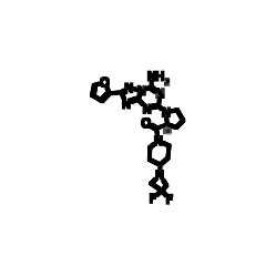 Nc1nc(N2CCC[C@H]2C(=O)N2CCC(N3CC(F)(F)C3)CC2)nc2nc(-c3ccco3)nn12